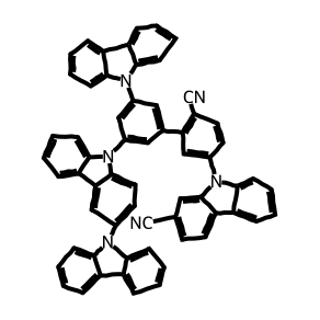 N#Cc1ccc2c3ccccc3n(-c3ccc(C#N)c(-c4cc(-n5c6ccccc6c6ccccc65)cc(-n5c6ccccc6c6cc(-n7c8ccccc8c8ccccc87)ccc65)c4)c3)c2c1